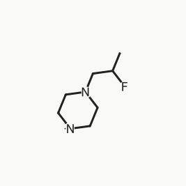 CC(F)CN1CC[N]CC1